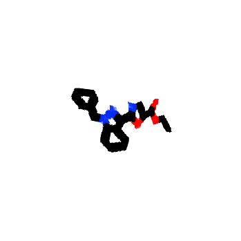 CCOC(=O)c1cnc(-c2nn(Cc3ccccc3)c3ccccc23)o1